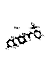 Br.O=C1CCC(Nc2cccc(NC(=O)CN3CCNC[C@@H]3C(F)(F)F)c2)C(=O)N1